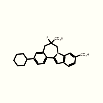 O=C(O)c1ccc2cc3n(c2c1)CC(F)(C(=O)O)Cc1cc(C2CCCCC2)ccc1-3